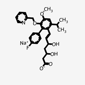 COc1cc(C(C)C)c(/C=C/C(O)CC(O)CC(=O)[O-])c(-c2ccc(F)cc2)c1OCc1ccccn1.[Na+]